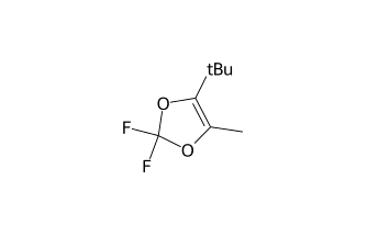 CC1=C(C(C)(C)C)OC(F)(F)O1